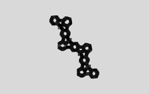 C1=c2c3ccccc3n3c2c(c2cc4c(cc23)c2cccc3c5cc6c(cc5n4c23)c2cccc3c4cc5c(cc4n6c32)c2cccc3c4ccccc4n5c32)CC1